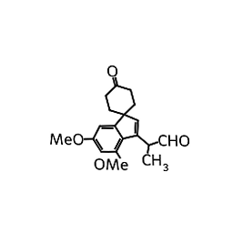 COc1cc(OC)c2c(c1)C1(C=C2C(C)C=O)CCC(=O)CC1